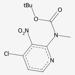 CN(C(=O)OC(C)(C)C)c1nccc(Cl)c1[N+](=O)[O-]